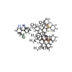 CC(C)c1cc(C(C)C)c(-c2cccc(P(C3CCCCC3)C3CCCCC3)c2)c(C(C)C)c1.CC(C)c1cc(C(C)C)c(-c2ccccc2P(C2CCCCC2)C2CCCCC2)c(C(C)C)c1.Nc1ccccc1-c1cccc[c]1[Pd][Cl]